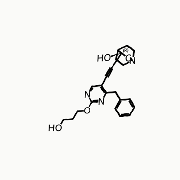 OCCCOc1ncc(C#C[C@@]2(O)CN3CCC2CC3)c(Cc2ccccc2)n1